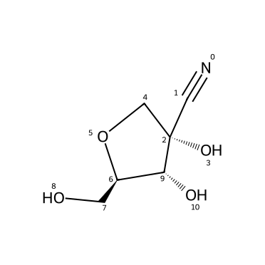 N#C[C@]1(O)CO[C@H](CO)[C@H]1O